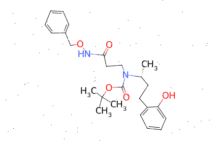 C[C@H](CCc1ccccc1O)N(CCC(=O)NOCc1ccccc1)C(=O)OC(C)(C)C